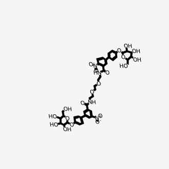 O=C(NCCOCCOCCNC(=O)c1cc(-c2ccc(OC3OC(CO)C(O)C(O)C3O)cc2)ccc1[N+](=O)[O-])c1cc(-c2ccc(OC3OC(CO)C(O)C(O)C3O)cc2)cc([N+](=O)[O-])c1